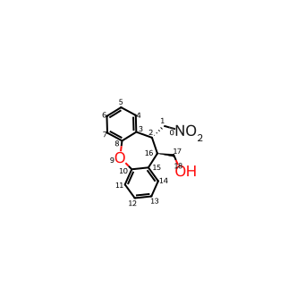 O=[N+]([O-])C[C@H]1c2ccccc2Oc2ccccc2[C@@H]1CO